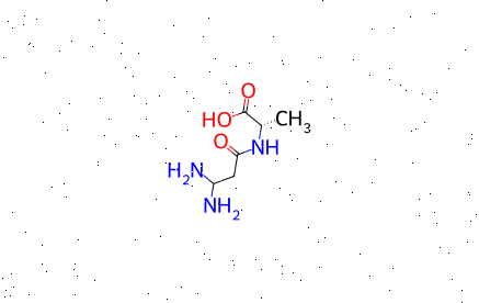 C[C@H](NC(=O)CC(N)N)C(=O)O